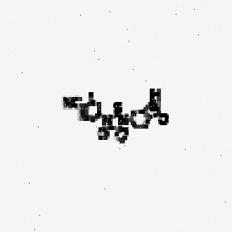 Cc1cc(N2C(=O)C3(CCC3)N(c3ccc4c(c3)CNC4=O)C2=S)cnc1C#N